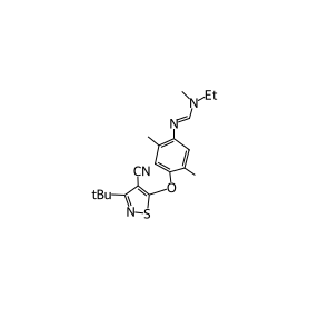 CCN(C)/C=N/c1cc(C)c(Oc2snc(C(C)(C)C)c2C#N)cc1C